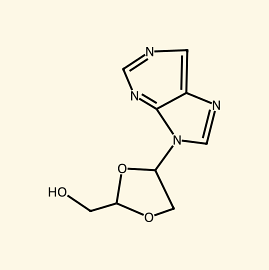 OCC1OCC(n2cnc3cncnc32)O1